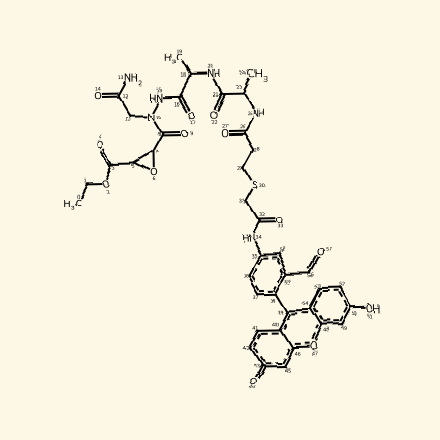 CCOC(=O)C1OC1C(=O)N(CC(N)=O)NC(=O)C(C)NC(=O)C(C)NC(=O)CCSCC(=O)Nc1ccc(-c2c3ccc(=O)cc-3oc3cc(O)ccc23)c(C=O)c1